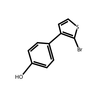 Oc1ccc(-c2ccsc2Br)cc1